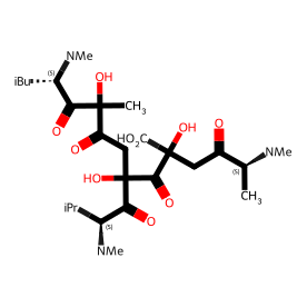 CCC(C)[C@H](NC)C(=O)C(C)(O)C(=O)CC(O)(C(=O)[C@@H](NC)C(C)C)C(=O)C(O)(CC(=O)[C@H](C)NC)C(=O)O